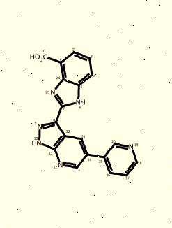 O=C(O)c1cccc2[nH]c(-c3n[nH]c4ncc(-c5cccnc5)cc34)nc12